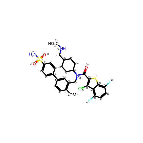 COc1ccc(-c2ccc(S(N)(=O)=O)cc2)cc1CN(C(=O)c1sc2c(F)ccc(F)c2c1Cl)C1CCC(CNC(=O)O)CC1